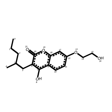 CCCC(C)Cc1c(O)c2ccc(OCCO)cc2oc1=O